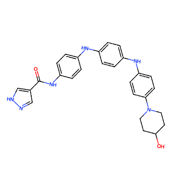 O=C(Nc1ccc(Nc2ccc(Nc3ccc(N4CCC(O)CC4)cc3)cc2)cc1)c1cn[nH]c1